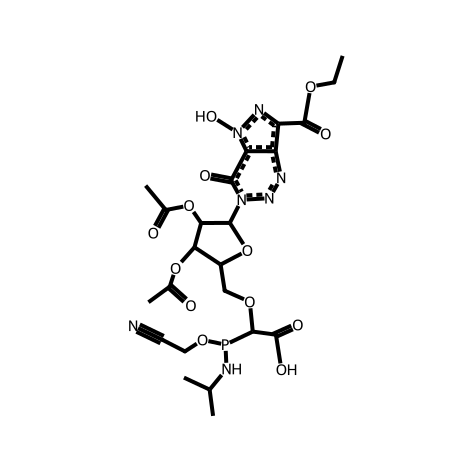 CCOC(=O)c1nn(O)c2c(=O)n(C3OC(COC(C(=O)O)P(NC(C)C)OCC#N)C(OC(C)=O)C3OC(C)=O)nnc12